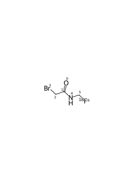 O=C(CBr)NC[18F]